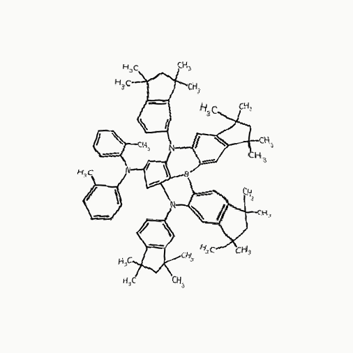 Cc1ccccc1N(c1cc2c3c(c1)N(c1ccc4c(c1)C(C)(C)CC4(C)C)c1cc4c(cc1B3c1cc3c(cc1N2c1ccc2c(c1)C(C)(C)CC2(C)C)C(C)(C)CC3(C)C)C(C)(C)CC4(C)C)c1ccccc1C